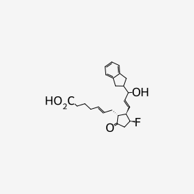 O=C(O)CCCC=CC[C@H]1C(=O)C[C@H](F)[C@@H]1C=CC(O)C1Cc2ccccc2C1